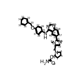 Cn1c(CN2CCC[C@@H]2OC(N)=O)cnc1-c1ccc2ncnc(Nc3ccc(OCc4ccccc4)cc3)c2c1